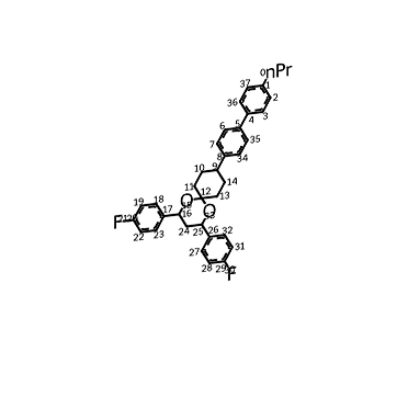 CCCc1ccc(-c2ccc(C3CCC4(CC3)OC(c3ccc(F)cc3)CC(c3ccc(F)cc3)O4)cc2)cc1